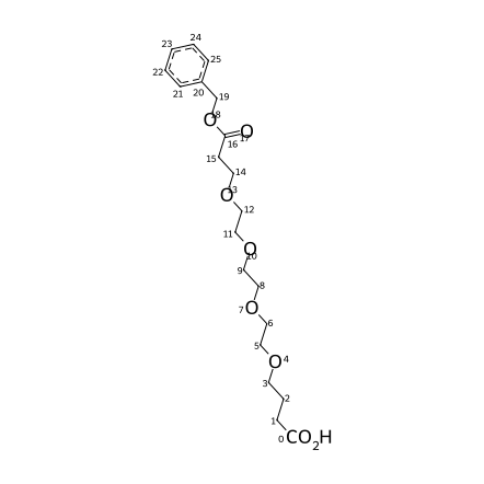 O=C(O)CCCOCCOCCOCCOCCC(=O)OCc1ccccc1